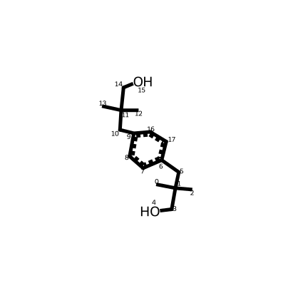 CC(C)(CO)Cc1ccc(CC(C)(C)CO)cc1